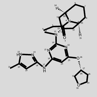 CCC(=O)N1[C@@H]2CCC[C@H]1C[C@H](N(C)c1nc(Nc3cc(C)[nH]n3)cc(O[C@@H]3CCOC3)n1)C2